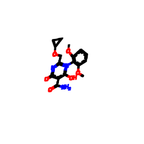 COc1cccc(OC)c1-n1c(COC2CC2)nc(=O)c(C(N)=O)c1O